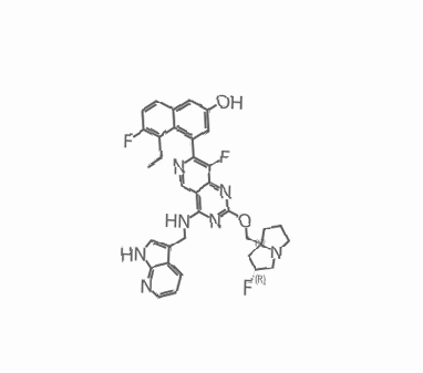 CCc1c(F)ccc2cc(O)cc(-c3ncc4c(NCc5c[nH]c6ncccc56)nc(OC[C@@]56CCCN5C[C@H](F)C6)nc4c3F)c12